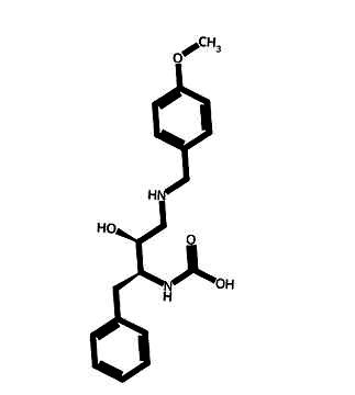 COc1ccc(CNC[C@H](O)[C@H](Cc2ccccc2)NC(=O)O)cc1